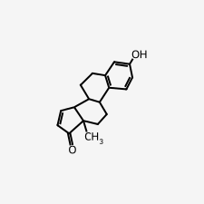 CC12CCC3c4ccc(O)cc4CCC3C1C=CC2=O